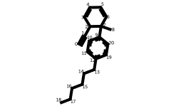 C#CC1C=CC=CC1(C)c1ccc(CCCCCC)cc1